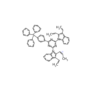 C=Cc1c(C=C)n(-c2nc(-c3ccc(S(c4ccccc4)(c4ccccc4)c4ccccc4)cc3)nc(-n3c(/C=C\C)c(C=C)c4ccccc43)n2)c2ccccc12